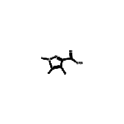 CNC(=O)c1nn(C)c(C)c1C